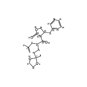 C=C(C)CC(CCC1(C)OCCO1)C(=O)N1C(=O)OCC1Cc1ccccc1